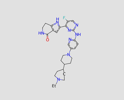 CCN1CCC(C2CCN(c3ccc(Nc4ncc(F)c(-c5cc6c([nH]5)CCNC6=O)n4)nc3)CC2)CC1